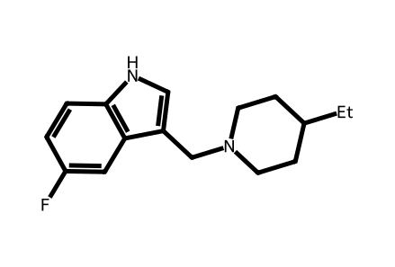 CCC1CCN(Cc2c[nH]c3ccc(F)cc23)CC1